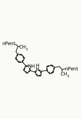 CCCCCC(C)Cc1ccc(-c2ccc(-c3ccc(-c4ccc(CC(C)CCCCC)cc4)[nH]3)[nH]2)cc1